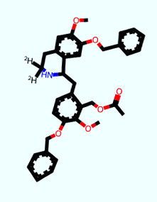 [2H]C1([2H])Cc2cc(OC)c(OCc3ccccc3)cc2C(Cc2ccc(OCc3ccccc3)c(OC)c2COC(C)=O)N1